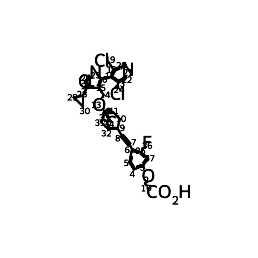 O=C(O)COc1ccc(C#CC23CCC(OCc4c(-c5c(Cl)cncc5Cl)noc4C4CC4)(CC2)CC3)c(F)c1